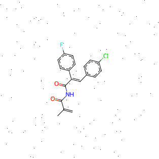 C=C(C)C(=O)NC(=O)/C(=C/c1ccc(Cl)cc1)c1ccc(F)cc1